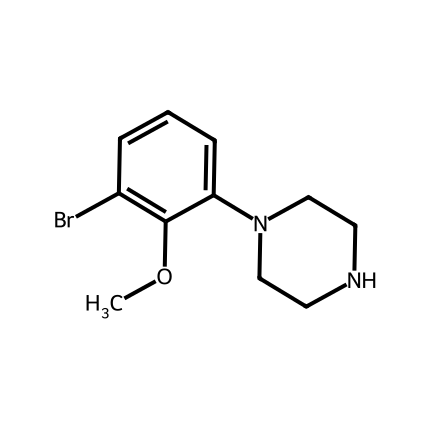 COc1c(Br)cccc1N1CCNCC1